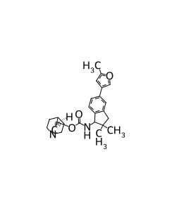 Cc1cc(-c2ccc3c(c2)CC(C)(C)C3NC(=O)O[C@H]2CN3CCC2CC3)co1